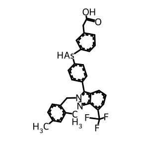 Cc1ccc(Cn2nc3c(C(F)(F)F)cccc3c2-c2ccc([AsH]c3cccc(CC(=O)O)c3)cc2)c(C)c1